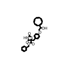 O=C1NC(=O)C(Cc2ccc(OCC(O)c3ccccccccc3)cc2)(C(=O)OCc2ccccc2)S1